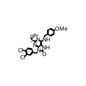 CCCSc1nc(NCc2ccc(OC)cc2)c2[nH]c(=O)n(Cc3ccc(Cl)c(Cl)c3)c2n1